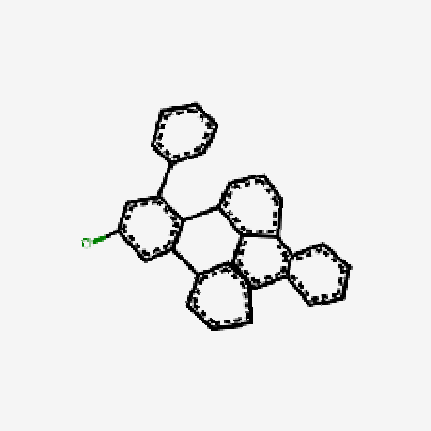 Clc1cc(-c2ccccc2)c(-c2cccc3c2ccc2ccccc23)c(-c2ccccc2)c1